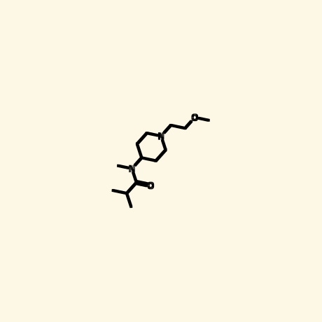 COCCN1CCC(N(C)C(=O)C(C)C)CC1